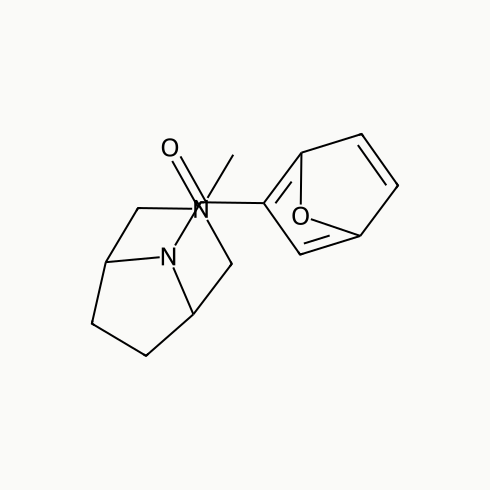 CN1CC2CCC(C1)N2C(=O)c1cc2ccc1o2